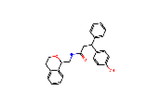 O=C(CC(c1ccccc1)c1ccc(O)cc1)NCC1OCCc2ccccc21